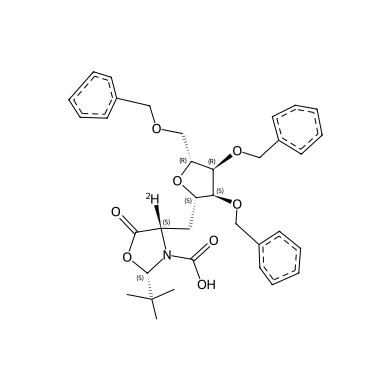 [2H][C@]1(C[C@@H]2O[C@H](COCc3ccccc3)[C@@H](OCc3ccccc3)[C@H]2OCc2ccccc2)C(=O)O[C@@H](C(C)(C)C)N1C(=O)O